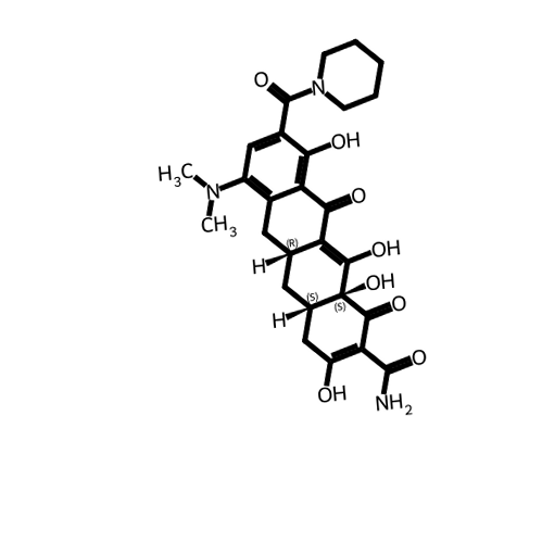 CN(C)c1cc(C(=O)N2CCCCC2)c(O)c2c1C[C@H]1C[C@H]3CC(O)=C(C(N)=O)C(=O)[C@@]3(O)C(O)=C1C2=O